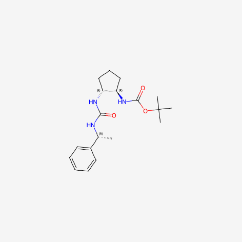 C[C@@H](NC(=O)N[C@@H]1CCC[C@H]1NC(=O)OC(C)(C)C)c1ccccc1